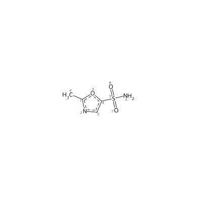 Cc1ncc(S(N)(=O)=O)o1